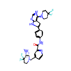 N[C@H]1CN(Cc2ccnc(C(=O)Nc3ccc(-c4cc5c(N6CCC(F)(F)CC6)ncnc5[nH]4)cc3)c2)CCC1(F)F